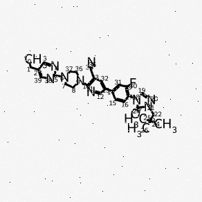 CCc1cnc(N2CCN(c3ncc(-c4ccc(-n5cnn(CC(C)(C)C)c5=O)c(F)c4)cc3C#N)CC2)nc1